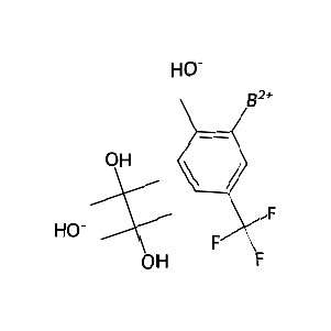 CC(C)(O)C(C)(C)O.[B+2]c1cc(C(F)(F)F)ccc1C.[OH-].[OH-]